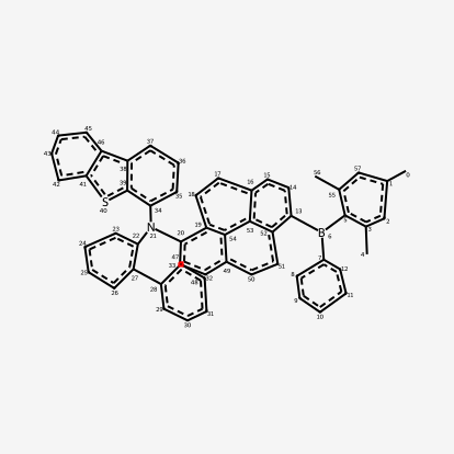 Cc1cc(C)c(B(c2ccccc2)c2ccc3ccc4c(N(c5ccccc5-c5ccccc5)c5cccc6c5sc5ccccc56)ccc5ccc2c3c54)c(C)c1